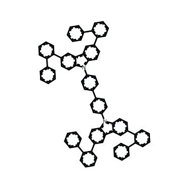 c1ccc(-c2ccccc2-c2ccc3c(c2)c2cc(-c4ccccc4-c4ccccc4)ccc2n3-c2ccc(-c3ccc(-n4c5ccc(-c6ccccc6-c6ccccc6)cc5c5cc(-c6ccccc6-c6ccccc6)ccc54)cc3)cc2)cc1